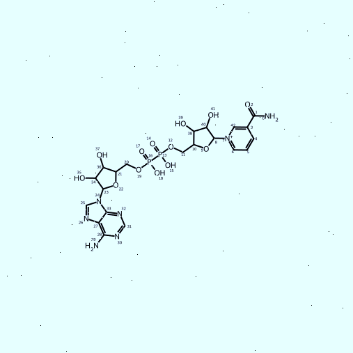 NC(=O)c1ccc[n+](C2OC(COP(=O)(O)P(=O)(O)OCC3OC(n4cnc5c(N)ncnc54)C(O)C3O)C(O)C2O)c1